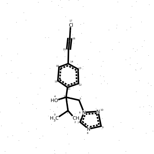 CC(C)C(O)(Cn1cncn1)c1ccc(C#CCl)cc1